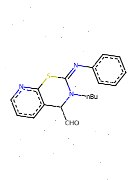 CCCCN1C(=Nc2ccccc2)Sc2ncccc2C1C=O